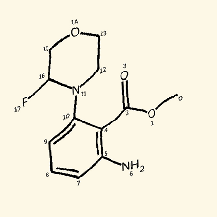 COC(=O)c1c(N)cccc1N1CCOCC1F